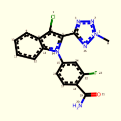 Cn1nnc(-c2c(Cl)c3ccccc3n2-c2ccc(C(N)=O)c(F)c2)n1